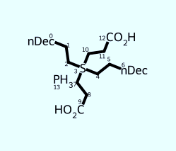 CCCCCCCCCCCCS(CCCCCCCCCCCC)(CCC(=O)O)CCC(=O)O.P